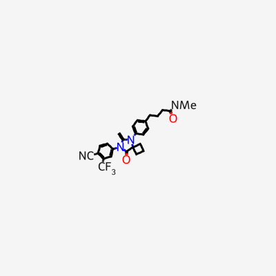 C=C1N(c2ccc(C#N)c(C(F)(F)F)c2)C(=O)C2(CCC2)N1c1ccc(CCCC(=O)NC)cc1